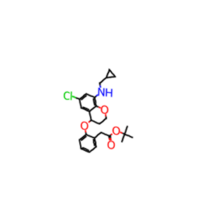 CC(C)(C)OC(=O)Cc1ccccc1OC1CCOc2c(NCC3CC3)cc(Cl)cc21